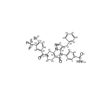 CNC(=O)c1ccc(-n2c(=O)c3c(n4ncc(Cc5ccccc5)c24)CN(C(=O)c2ccc(Br)c(C(F)(F)F)c2)CC3)cc1